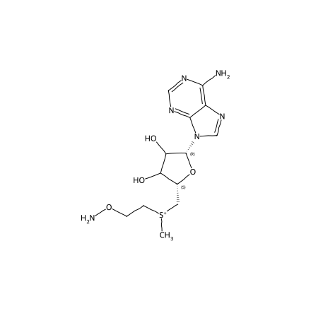 C[S+](CCON)C[C@H]1O[C@@H](n2cnc3c(N)ncnc32)C(O)C1O